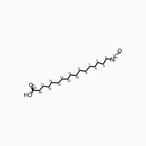 O=C=NCCCCCCCCCCCCCCCCC(=O)O